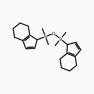 C[Si](C)(O[Si](C)(C)C1C=CC2=C1CCCC2)C1C=CC2=C1CCCC2